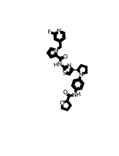 O=C(Nc1nc([C@H]2CCCN2c2ccc(NC(=O)C3CCCO3)cc2)cs1)c1cccn1Cc1ccnc(F)c1